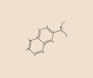 C[SH](C)c1ccc2nnccc2c1